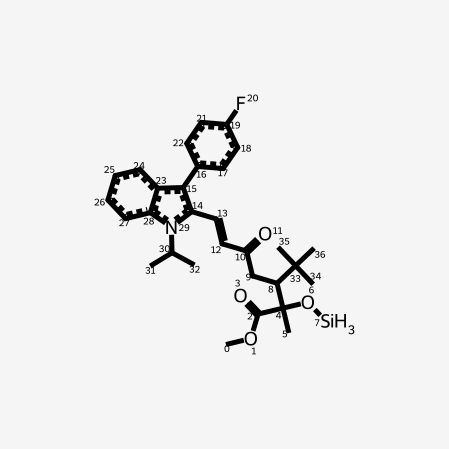 COC(=O)C(C)(O[SiH3])C(CC(=O)C=Cc1c(-c2ccc(F)cc2)c2ccccc2n1C(C)C)C(C)(C)C